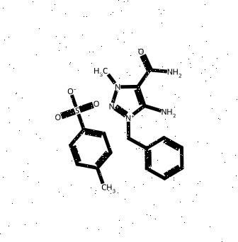 Cc1ccc(S(=O)(=O)[O-])cc1.Cn1n[n+](Cc2ccccc2)c(N)c1C(N)=O